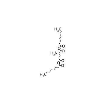 CCCCCCCC(=O)OC(=O)CCC(N)C(=O)OC(=O)CCCCCCC